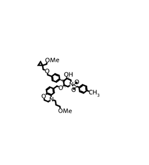 COCCCN1CCOc2ccc(CO[C@H]3CN(S(=O)(=O)c4ccc(C)cc4)C[C@@H](O)[C@@H]3c3ccc(COCC4(COC)CC4)cc3)cc21